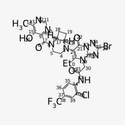 CCc1c(N2CCN(C(=O)c3ncnc(C)c3O)[C@@H]3CC[C@H]32)c(=O)n2nc(Br)nc2n1CC(=O)Nc1ccc(C(F)(F)F)cc1Cl